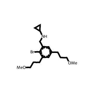 COCCCc1cc(CCCOC)c(Br)c(CNC2CC2)c1